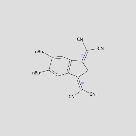 [C-]#[N+]/C(C#N)=C1/C/C(=C(\C#N)[N+]#[C-])c2cc(CCCC)c(CCCC)cc21